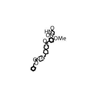 COc1ccc(C(=O)N2CCC3(CCC(CN4CCN(C(=O)OCc5ccccc5)CC4)CC3)CC2)cc1N1CCC(=O)NC1=O